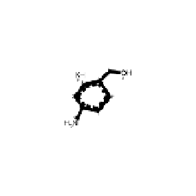 Nc1ccc(CO)cc1.[KH]